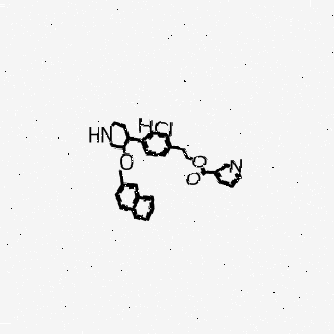 Cl.O=C(OCCc1ccc(C2CCNCC2OCc2ccc3ccccc3c2)cc1)c1cccnc1